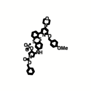 COc1ccc(COc2cc(N3CCOCC3)cc(-c3cccc4c3Sc3ccc(NC5CN(C(=O)OCc6ccccc6)CC5OS(C)(=O)=O)cc3S4)n2)cc1